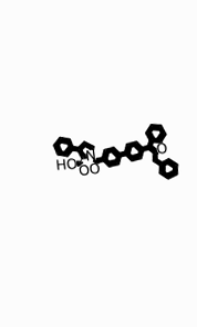 O=C(O)[C@@H]1C(c2ccccc2)CCN1C(=O)c1ccc(-c2ccc(-c3c(Cc4ccccc4)oc4ccccc34)cc2)cc1